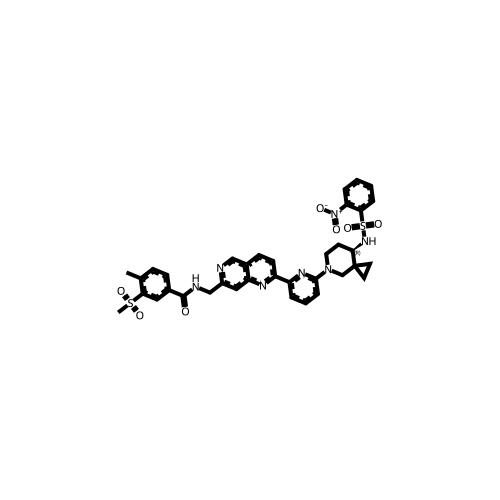 Cc1ccc(C(=O)NCc2cc3nc(-c4cccc(N5CC[C@@H](NS(=O)(=O)c6ccccc6[N+](=O)[O-])C6(CC6)C5)n4)ccc3cn2)cc1S(C)(=O)=O